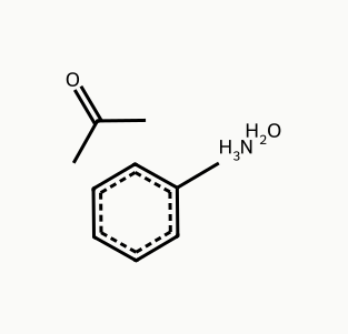 CC(C)=O.Cc1ccccc1.N.O